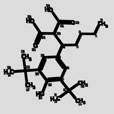 CCCCC(c1cc(C(C)(C)C)c(O)c(C(C)(C)C)c1)C(C(=O)O)C(=O)O